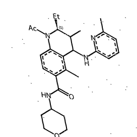 CC[C@H]1C(C)C(Nc2cccc(C)n2)c2c(ccc(C(=O)NC3CCOCC3)c2C)N1C(C)=O